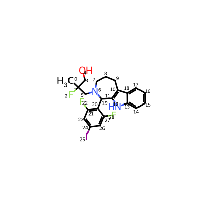 CC(F)(CO)CN1CCCc2c([nH]c3ccccc23)C1c1c(F)cc(I)cc1F